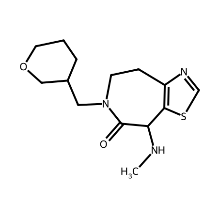 CNC1C(=O)N(CC2CCCOC2)CCc2ncsc21